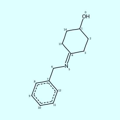 OC1CCC(=NCc2ccccc2)CC1